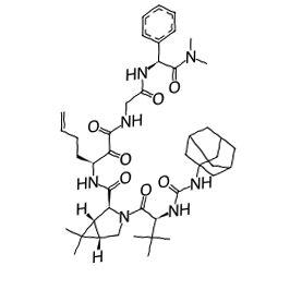 C=CCC[C@H](NC(=O)[C@@H]1[C@@H]2[C@H](CN1C(=O)[C@@H](NC(=O)NC13CC4CC(CC(C4)C1)C3)C(C)(C)C)C2(C)C)C(=O)C(=O)NCC(=O)N[C@H](C(=O)N(C)C)c1ccccc1